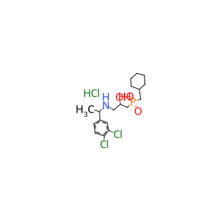 CC(NCC(O)CP(=O)(O)CC1CCCCC1)c1ccc(Cl)c(Cl)c1.Cl